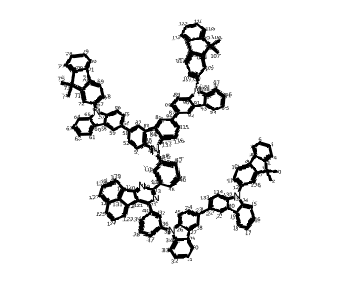 CC1(C)c2ccccc2-c2ccc(-n3c4ccccc4c4cc(-c5ccc6c(c5)c5ccccc5n6-c5cccc(-c6nc(-c7cccc(-n8c9ccc(-c%10ccc%11c(c%10)c%10ccccc%10n%11-c%10ccc%11c(c%10)C(C)(C)c%10ccccc%10-%11)cc9c9cc(-c%10ccc%11c(c%10)c%10ccccc%10n%11-c%10ccc%11c(c%10)C(C)(C)c%10ccccc%10-%11)ccc98)c7)nc7c6-c6cccc8cccc-7c68)c5)ccc43)cc21